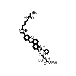 CC[C@H](C)CC(=O)NCCCCC1=NCC(c2ccc3c(c2)Oc2ccc4c(ccc5nc([C@@H]6CCCN6C(=O)[C@@H](NC(=O)OC)[C@@H](C)CC)[nH]c54)c2C3)N1